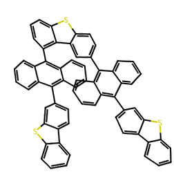 c1ccc2c(c1)sc1cc(-c3c4ccccc4c(-c4ccc5sc6cccc(-c7c8ccccc8c(-c8ccc9c(c8)sc8ccccc89)c8ccccc78)c6c5c4)c4ccccc34)ccc12